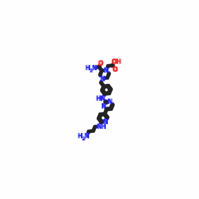 NCCCNc1ccc(-c2ccnc(Nc3cccc(CN4CCN(CC(=O)O)C(C(N)=O)C4)c3)n2)cn1